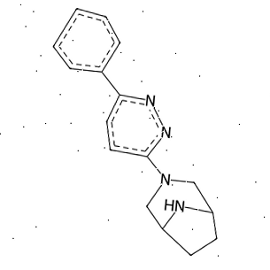 c1ccc(-c2ccc(N3CC4CCC(C3)N4)nn2)cc1